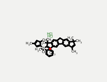 Cl.Cl.[CH2]=[Zr]([CH3])([C]1=CC(C)=CC1C)([C]1=C(C)c2cc3c(cc2C1(C)C)Cc1cc2c(cc1-3)C(C)=CC2(C)C)[c]1ccccc1